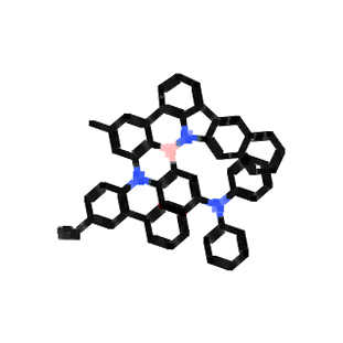 Cc1cc2c3c(c1)N(c1ccc(C(C)(C)C)cc1-c1ccccc1)c1ccc(N(c4ccccc4)c4ccccc4)cc1B3n1c3cc4ccccc4cc3c3cccc-2c31